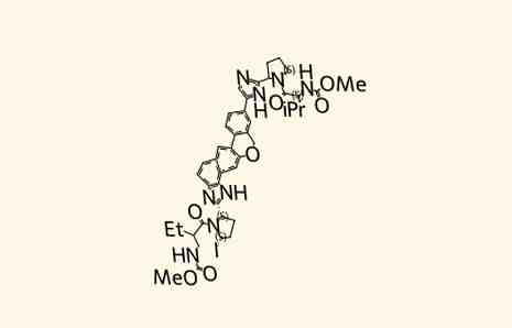 CCC(CNC(=O)OC)C(=O)N1[C@@H](I)CC[C@H]1c1nc2ccc3cc4c(cc3c2[nH]1)OCc1cc(-c2cnc(C3CC[C@H](C)N3C(=O)[C@@H](NC(=O)OC)C(C)C)[nH]2)ccc1-4